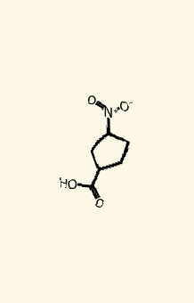 O=C(O)C1CCC([N+](=O)[O-])C1